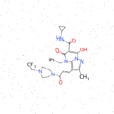 Cc1nn2c(O)c(C(=O)NC3CC3)c(=O)n(CC(C)C)c2c1C=CC(=O)N1CCN(CC(F)(F)F)CC1